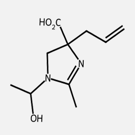 C=CCC1(C(=O)O)CN(C(C)O)C(C)=N1